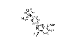 COc1c(F)ccc2c(C)nc(-c3ccc(N4CCOC[C@H]4C)nc3)nc12